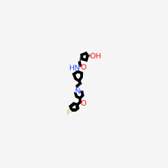 O=C(C[C@@H]1CC[C@H](O)C1)NC1CCC(CCN2CCC(C(=O)c3ccc(F)cc3)CC2)CC1